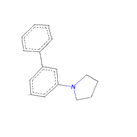 [c]1cc(-c2ccccc2)cc(N2CCCC2)c1